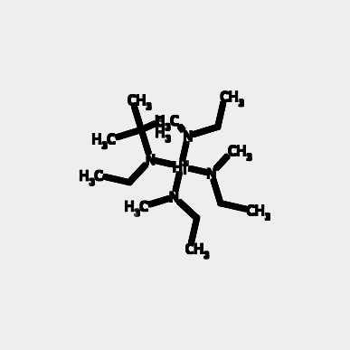 CC[N](C)[Hf]([N](C)CC)([N](C)CC)[N](CC)C(C)(C)C